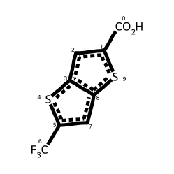 O=C(O)c1cc2sc(C(F)(F)F)cc2s1